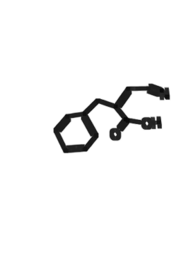 N#CC=C(Cc1ccccc1)C(=O)O